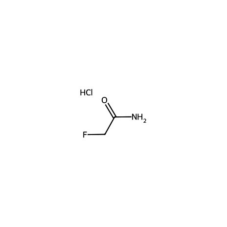 Cl.NC(=O)CF